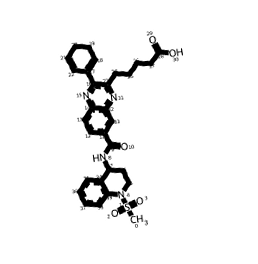 CS(=O)(=O)N1CCC(NC(=O)c2ccc3nc(C4=CCCC=C4)c(CCCCC(=O)O)nc3c2)c2ccccc21